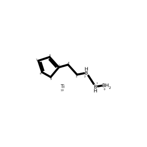 BBBCCC1=CC=CC1.[Ti]